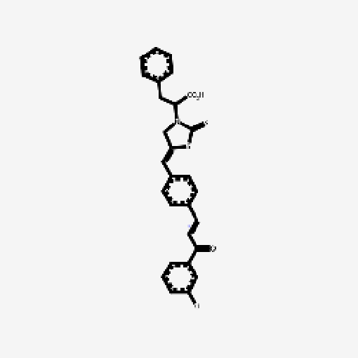 O=C(/C=C/c1ccc(C=C2CN(C(Cc3ccccc3)C(=O)O)C(=S)S2)cc1)c1cccc(Cl)c1